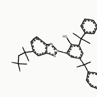 CC(C)(C)CC(C)(C)c1ccc2nn(-c3cc(C(C)(C)c4ccccc4)cc(C(C)(C)c4ccccc4)c3O)nc2c1